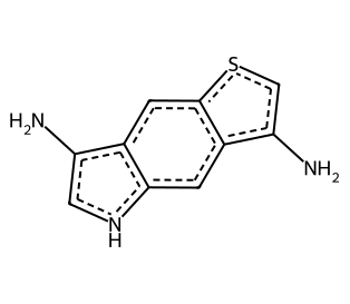 Nc1c[nH]c2cc3c(N)csc3cc12